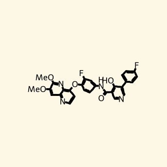 COc1cc2nccc(Oc3ccc(NC(=O)c4cncc(-c5ccc(F)cc5)c4O)cc3F)c2nc1OC